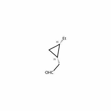 CC[C@H]1C[C@H]1C[C]=O